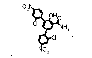 NC(=O)c1cc(-c2ccc([N+](=O)[O-])cc2Cl)cc(-c2ccc([N+](=O)[O-])cc2Cl)c1O